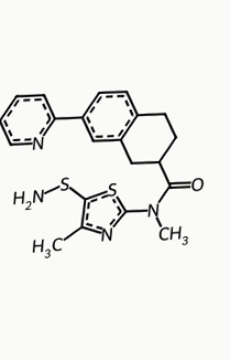 Cc1nc(N(C)C(=O)C2CCc3ccc(-c4ccccn4)cc3C2)sc1SN